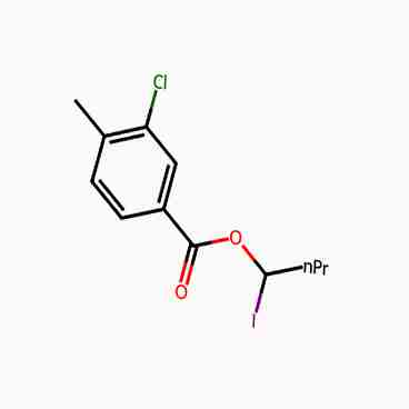 CCCC(I)OC(=O)c1ccc(C)c(Cl)c1